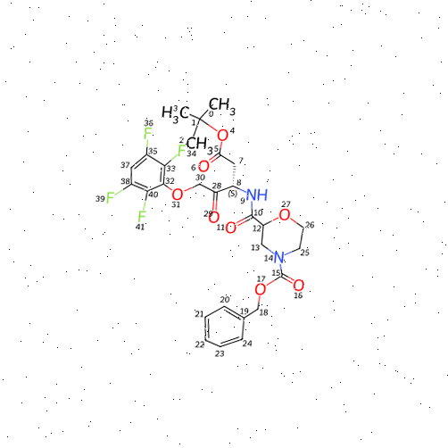 CC(C)(C)OC(=O)C[C@H](NC(=O)C1CN(C(=O)OCc2ccccc2)CCO1)C(=O)COc1c(F)c(F)cc(F)c1F